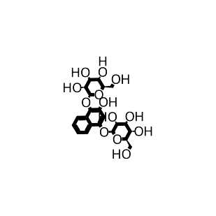 OC[C@H]1O[C@@H](Oc2cc(O)c(O[C@@H]3O[C@H](CO)[C@@H](O)[C@H](O)[C@H]3O)c3ccccc23)[C@H](O)[C@@H](O)[C@@H]1O